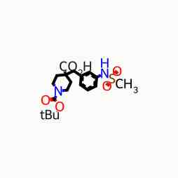 CC(C)(C)OC(=O)N1CCC(Cc2cccc(NS(C)(=O)=O)c2)(C(=O)O)CC1